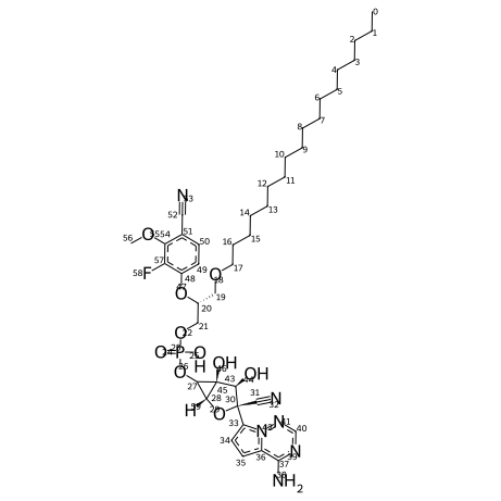 CCCCCCCCCCCCCCCCCCOC[C@H](COP(=O)(O)OC1[C@H]2O[C@@](C#N)(c3ccc4c(N)ncnn34)[C@H](O)[C@@]12O)Oc1ccc(C#N)c(OC)c1F